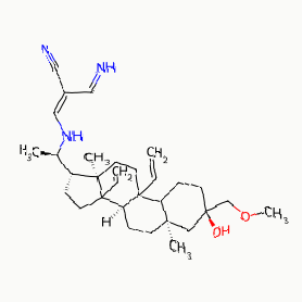 C=CC12CC[C@]3(C)[C@@H]([C@@H](C)N/C=C(/C#N)C=N)CCC3(C=C)[C@@H]1CC[C@]1(C)C[C@@](O)(COC)CCC21